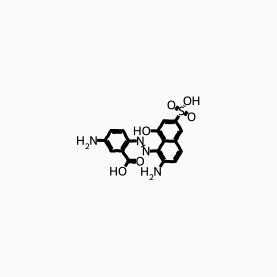 Nc1ccc(N=Nc2c(N)ccc3cc(S(=O)(=O)O)cc(O)c23)c(C(=O)O)c1